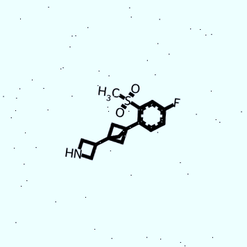 CS(=O)(=O)c1cc(F)ccc1C12CC(C3CNC3)(C1)C2